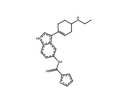 CCNC1CC=C(c2c[nH]c3ccc(NC(=N)c4cccs4)cc23)CC1